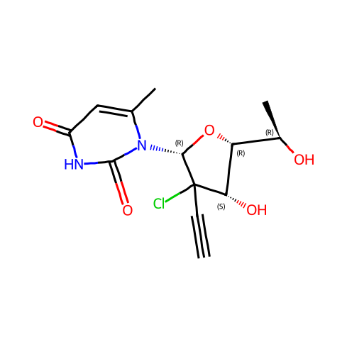 C#CC1(Cl)[C@@H](O)[C@@H]([C@@H](C)O)O[C@H]1n1c(C)cc(=O)[nH]c1=O